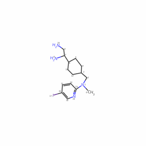 CN(CC1CCC(C(N)CN)CC1)c1ccc(I)cn1